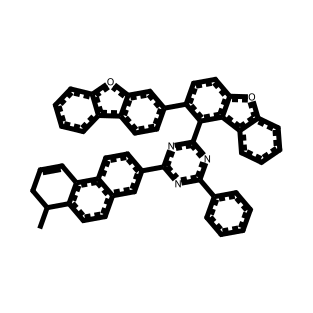 CC1CC=Cc2c1ccc1cc(-c3nc(-c4ccccc4)nc(-c4c(-c5ccc6c(c5)oc5ccccc56)ccc5oc6ccccc6c45)n3)ccc21